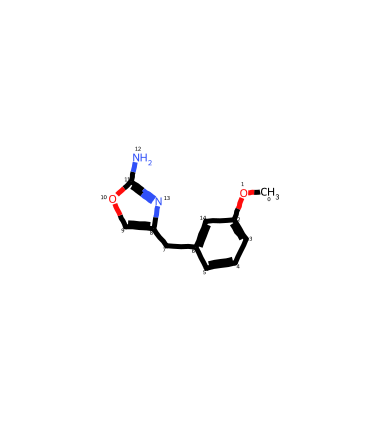 COc1cccc(Cc2coc(N)n2)c1